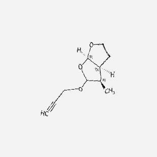 C#CCOC1O[C@H]2OCC[C@H]2[C@H]1C